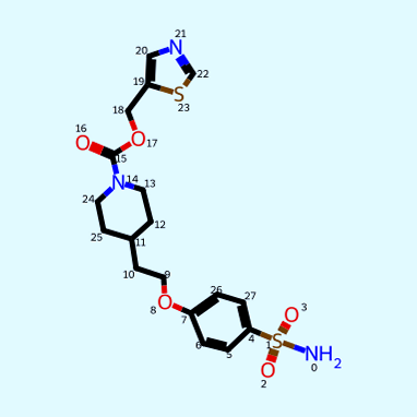 NS(=O)(=O)c1ccc(OCCC2CCN(C(=O)OCc3cncs3)CC2)cc1